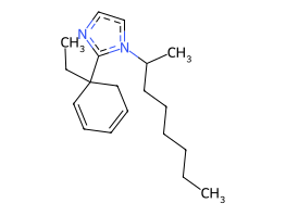 CCCCCCC(C)n1ccnc1C1(CC)C=CC=CC1